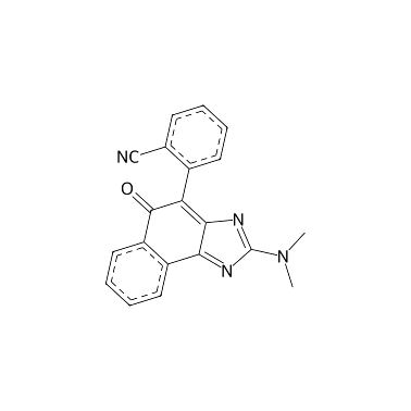 CN(C)C1=NC2=C(c3ccccc3C#N)C(=O)c3ccccc3C2=N1